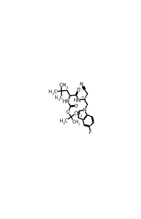 CC(C)(C)CC(NC(=O)OC(C)(C)C)C(=O)N[C@@H](CC#N)CN1CCc2cc(F)ccc21